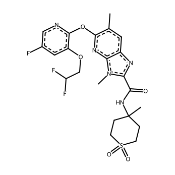 Cc1cc2nc(C(=O)NC3(C)CCS(=O)(=O)CC3)n(C)c2nc1Oc1ncc(F)cc1OCC(F)F